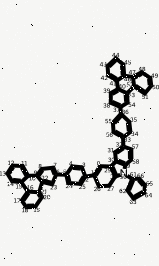 C1=C(c2ccc(-c3ccc4c5ccccc5c5ccccc5c4c3)cc2)CCc2c1c1cc(-c3ccc(-c4ccc5c6ccccc6c6ccccc6c5c4)cc3)ccc1n2-c1ccccc1